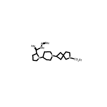 CCOC(=O)N1CCC2(CC(N3CCC(N4CCCC4C(=N)NN=N)CC3)C2)C1